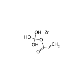 C=CC(=O)OC(O)(O)O.[Zr]